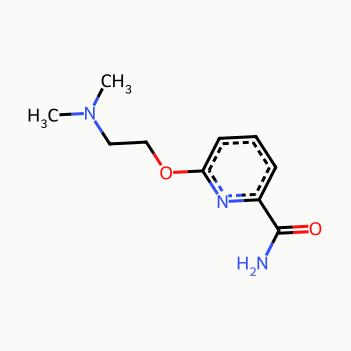 CN(C)CCOc1cccc(C(N)=O)n1